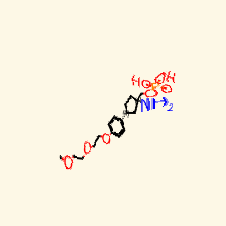 COCCOCCOc1ccc([C@@H]2CC[C@@](N)(COP(=O)(O)O)C2)cc1